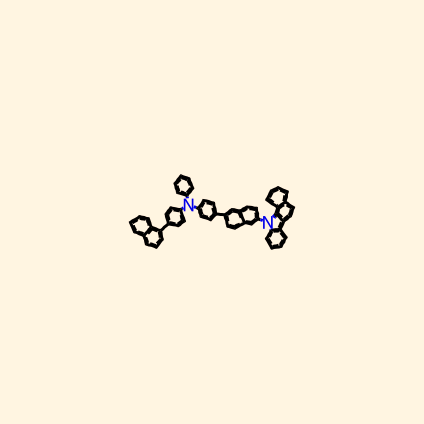 c1ccc(N(c2ccc(-c3ccc4cc(-n5c6ccccc6c6ccc7ccccc7c65)ccc4c3)cc2)c2ccc(-c3cccc4ccccc34)cc2)cc1